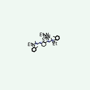 CCN(/C(C)=C/C=C1\CCCC(/C=C/C(C)=[N+](\CC)c2ccccc2C)=C1Sc1nnnn1CC)c1ccccc1C